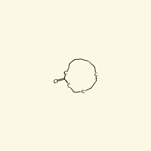 O=C1CCCCCCCCCCCC1